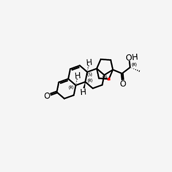 C[C@@H](O)C(=O)C12CCC3(CC1)[C@@H]1C=CC4=CC(=O)CC[C@@H]4[C@H]1CC[C@]23C